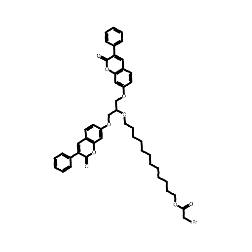 CC(C)CC(=O)OCCCCCCCCCCCCOC(COc1ccc2cc(-c3ccccc3)c(=O)oc2c1)COc1ccc2cc(-c3ccccc3)c(=O)oc2c1